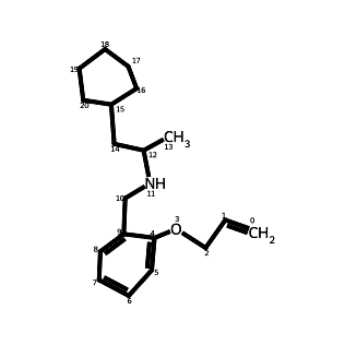 C=CCOc1ccccc1CNC(C)CC1CCCCC1